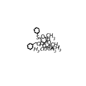 CO[C@]1(C)O[C@@H]2[C@@H](O[C@@]1(C)OC)[C@H](C)O[C@@H](Sc1ccccc1)[C@@H]2OCc1ccccc1